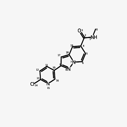 CNC(=O)c1ccn2nc(-c3ccc(Cl)nc3)cc2c1